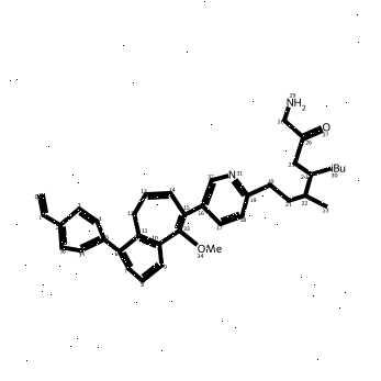 C=Cc1ccc(-c2cccc3c2CC=CC(c2ccc(CCC(C)C(CC(=O)CN)C(C)CC)nc2)=C3OC)cc1